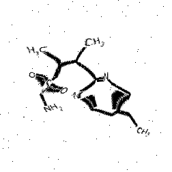 Cc1cnc(C(C)C(C)S(N)(=O)=O)nc1